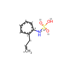 C=CCc1ccccc1NS(=O)(=O)O